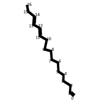 C=CCCCCCCCCCC=CC=CCC